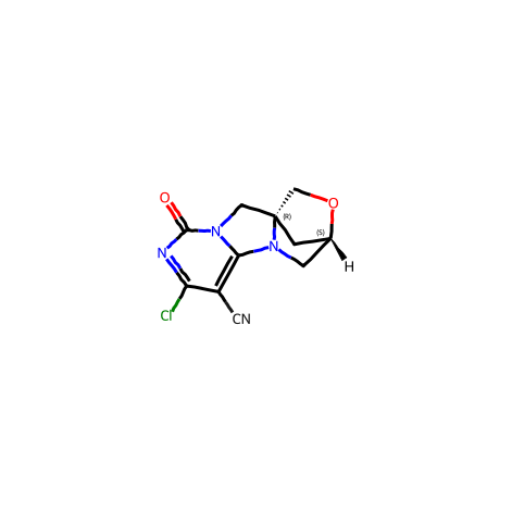 N#Cc1c(Cl)nc(=O)n2c1N1C[C@@H]3C[C@]1(CO3)C2